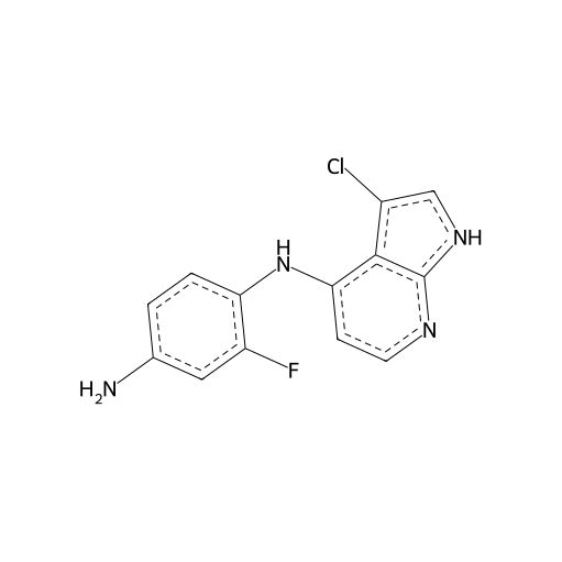 Nc1ccc(Nc2ccnc3[nH]cc(Cl)c23)c(F)c1